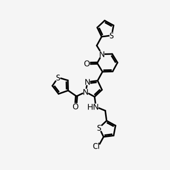 O=C(c1ccsc1)n1nc(-c2cccn(Cc3cccs3)c2=O)cc1NCc1ccc(Cl)s1